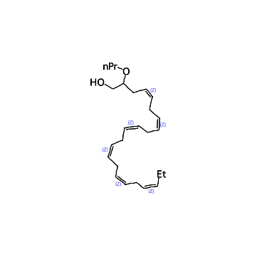 CC/C=C\C/C=C\C/C=C\C/C=C\C/C=C\C/C=C\CC(CO)OCCC